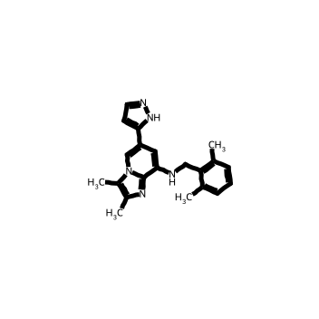 Cc1cccc(C)c1CNc1cc(-c2ccn[nH]2)cn2c(C)c(C)nc12